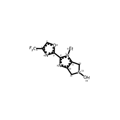 CCn1c(-c2nc(C(F)(F)F)co2)nc2c1CN(O)C2